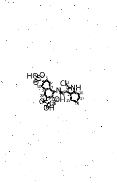 O=S(=O)(O)c1ccc2c(N=Nc3c(Cl)[nH]c4ccccc34)c(O)c(S(=O)(=O)O)cc2c1